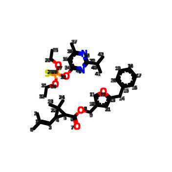 CC(C)=CC1C(C(=O)OCc2coc(Cc3ccccc3)c2)C1(C)C.CCOP(=S)(OCC)Oc1cc(C)nc(C(C)C)n1